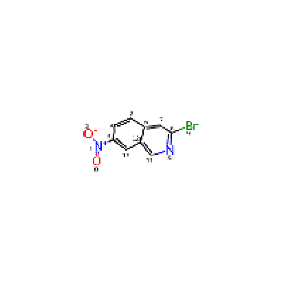 O=[N+]([O-])c1ccc2cc(Br)ncc2c1